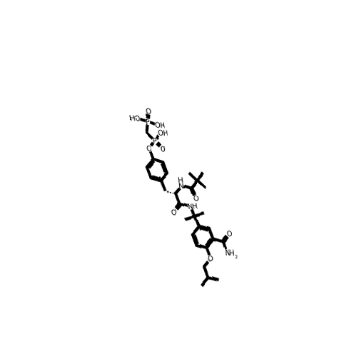 CC(C)COc1ccc(C(C)(C)NC(=O)[C@H](Cc2ccc(OP(=O)(O)CP(=O)(O)O)cc2)NC(=O)C(C)(C)C)cc1C(N)=O